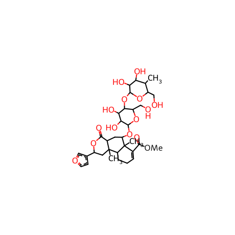 COC(=O)C1=CCCC2C3(C)CC(c4ccoc4)OC(=O)C3CC(OC3OC(CO)C(OC4OC(CO)C(C)C(O)C4O)C(O)C3O)C12C